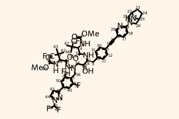 COC(=O)NC(C(=O)N[C@@H](Cc1ccc(C#Cc2ccc(N3CC4CCC(C3)N4)nc2)cc1)[C@@H](O)CN(Cc1c(F)cc(-c2ccn(C(F)F)n2)cc1F)NC(=O)[C@@H](NC(=O)OC)C(C)(C)C(F)(F)F)C(C)(C)C(F)(F)F